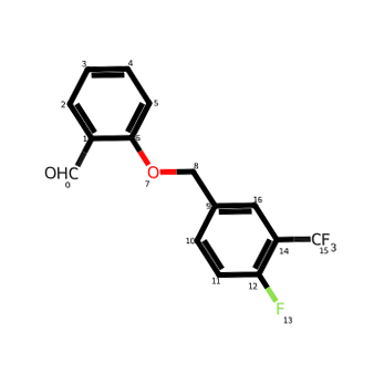 O=Cc1ccccc1OCc1ccc(F)c(C(F)(F)F)c1